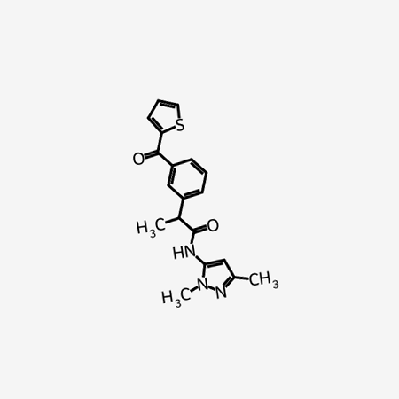 Cc1cc(NC(=O)C(C)c2cccc(C(=O)c3cccs3)c2)n(C)n1